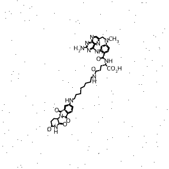 CN(Cc1cnc2nc(N)nc(N)c2n1)c1ccc(C(=O)NC(CCC(=O)NCCCCCCCCNc2ccc3c(c2)C(=O)N(C2CCC(=O)NC2=O)C3=O)C(=O)O)cc1